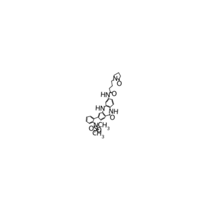 CN(c1ccccc1-c1ccc2c(c1)Nc1cc(NC(=O)CCCN3CCCC3=O)ccc1NC2=O)S(C)(=O)=O